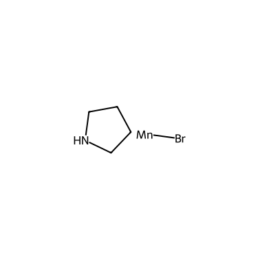 C1CCNC1.[Mn][Br]